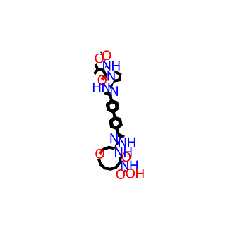 CC(C)[C@H](NC1OCO1)C(=O)N1CCC[C@H]1c1nc(-c2ccc(-c3ccc(-c4c[nH]c([C@@H]5CCOCCCCC[C@H](NC(=O)O)C(=O)N5)n4)cc3)cc2)c[nH]1